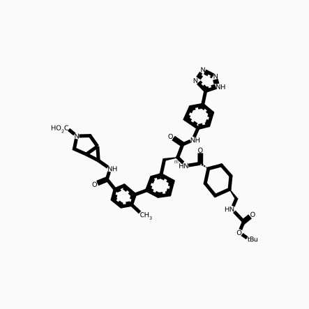 Cc1ccc(C(=O)NC2C3CN(C(=O)O)CC32)cc1-c1cccc(C[C@H](NC(=O)[C@H]2CC[C@H](CNC(=O)OC(C)(C)C)CC2)C(=O)Nc2ccc(-c3nnn[nH]3)cc2)c1